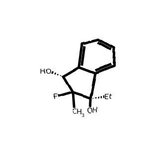 CC[C@@]1(O)c2ccccc2[C@@H](O)C1(C)F